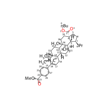 CCCCOC(=O)[C@]12CC[C@@H](C(C)C)[C@@H]1[C@H]1CC[C@@H]3[C@@]4(C)CC=C(c5ccc(C(=O)OC)cc5)C(C)(C)[C@@H]4CC[C@@]3(C)[C@]1(C)CC2